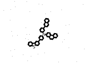 c1cc(-c2ccc3ccccc3c2)cc(N(c2ccc(-c3ccc4sc5ccccc5c4c3)cc2)c2ccc3c(ccc4ccccc43)c2)c1